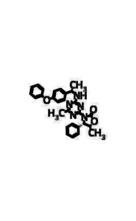 Cc1nc(N[C@@H](C)c2ccc(Oc3ccccc3)cc2)nc(N2C(=O)O[C@@H](C)[C@@H]2c2ccccc2)n1